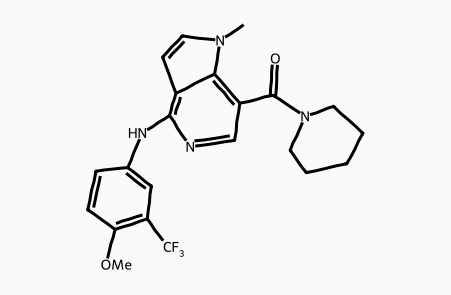 COc1ccc(Nc2ncc(C(=O)N3CCCCC3)c3c2ccn3C)cc1C(F)(F)F